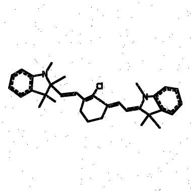 CN1/C(=C\C=C2/CCCC(/C=C/C3(C)N(C)c4ccccc4C3(C)C)=C2Cl)C(C)(C)c2ccccc21